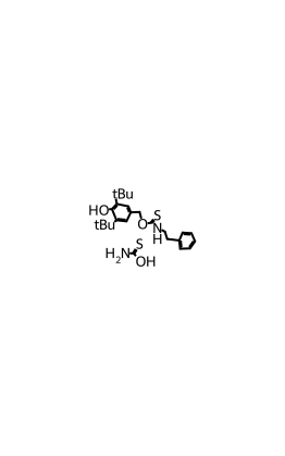 CC(C)(C)c1cc(COC(=S)NCCc2ccccc2)cc(C(C)(C)C)c1O.NC(O)=S